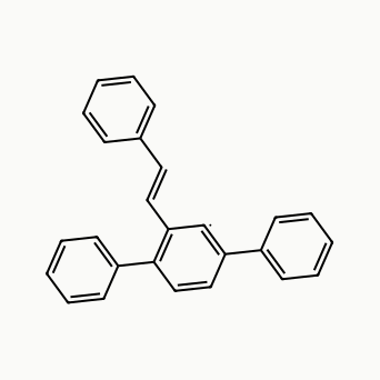 [c]1c(-c2ccccc2)ccc(-c2ccccc2)c1C=Cc1ccccc1